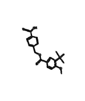 COc1ccc(C(=O)OCc2ccc(C(=O)O)cc2)cc1C(C)(C)C